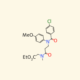 CCOC(=O)CN(C)C(=O)CCN(C(=O)c1ccc(Cl)cc1)c1ccc(OC)cc1